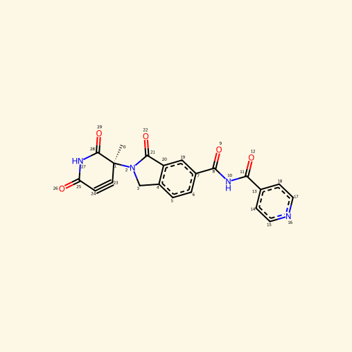 C[C@]1(N2Cc3ccc(C(=O)NC(=O)c4ccncc4)cc3C2=O)C#CC(=O)NC1=O